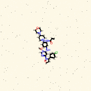 C=CC(=O)Nc1cc(Nc2cc(N3OCCC3c3ccc(Cl)cc3)ncn2)c(OC)cc1N1CCC(N2CCOCC2)CC1